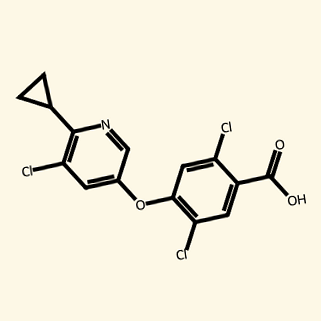 O=C(O)c1cc(Cl)c(Oc2cnc(C3CC3)c(Cl)c2)cc1Cl